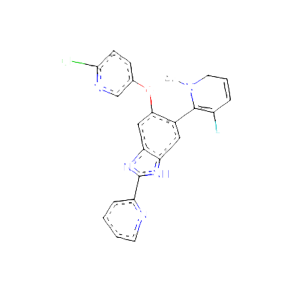 CC(=O)N1CC=CC(F)=C1c1cc2[nH]c(-c3ccccn3)nc2cc1Oc1ccc(Cl)nc1